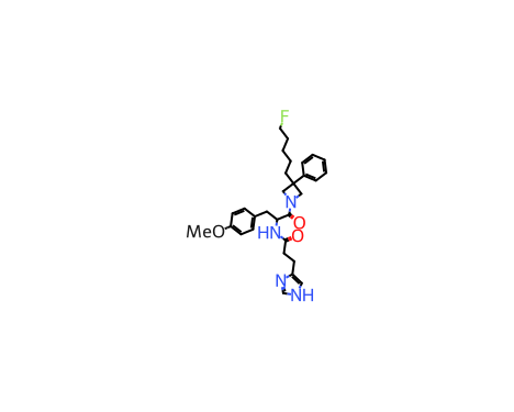 COc1ccc(CC(NC(=O)CCc2c[nH]cn2)C(=O)N2CC(CCCCCF)(c3ccccc3)C2)cc1